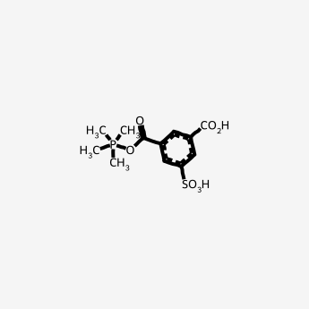 CP(C)(C)(C)OC(=O)c1cc(C(=O)O)cc(S(=O)(=O)O)c1